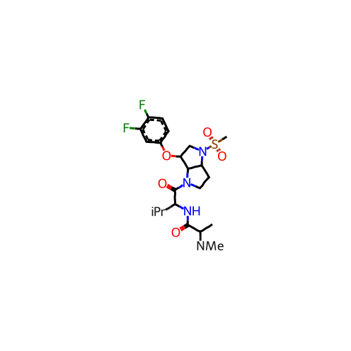 CNC(C)C(=O)NC(C(=O)N1CCC2C1C(Oc1ccc(F)c(F)c1)CN2S(C)(=O)=O)C(C)C